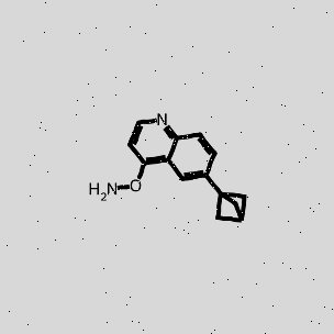 NOc1ccnc2ccc(C34CC(C3)C4)cc12